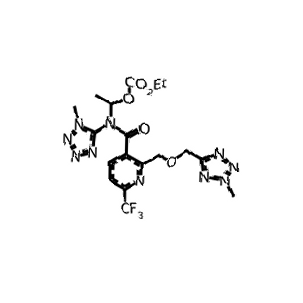 CCOC(=O)OC(C)N(C(=O)c1ccc(C(F)(F)F)nc1COCc1nnn(C)n1)c1nnnn1C